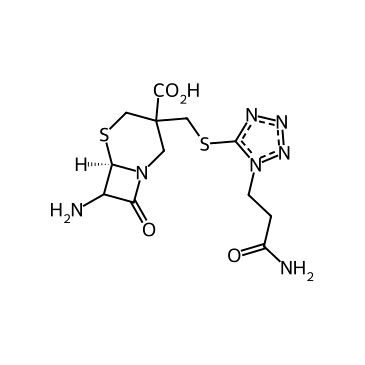 NC(=O)CCn1nnnc1SCC1(C(=O)O)CS[C@@H]2C(N)C(=O)N2C1